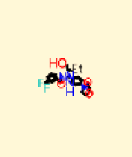 CCC(CCO)n1/c(=N/C(=O)c2cccc(C(F)F)c2)[nH]c2cc(N3CCOCC3=O)ccc21